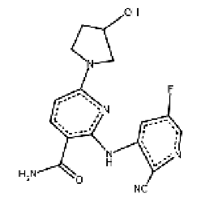 N#Cc1ncc(F)cc1Nc1nc(N2CCC(O)C2)ccc1C(N)=O